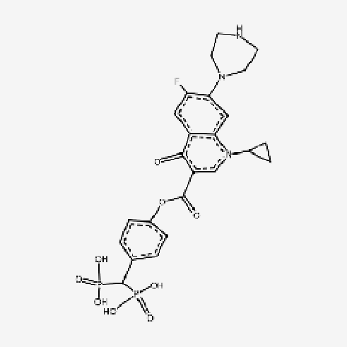 O=C(Oc1ccc(C(P(=O)(O)O)P(=O)(O)O)cc1)c1cn(C2CC2)c2cc(N3CCNCC3)c(F)cc2c1=O